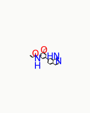 C=CC(=O)Nc1cc(OC)cc(-c2ccc3ccnc(NC)c3c2)c1